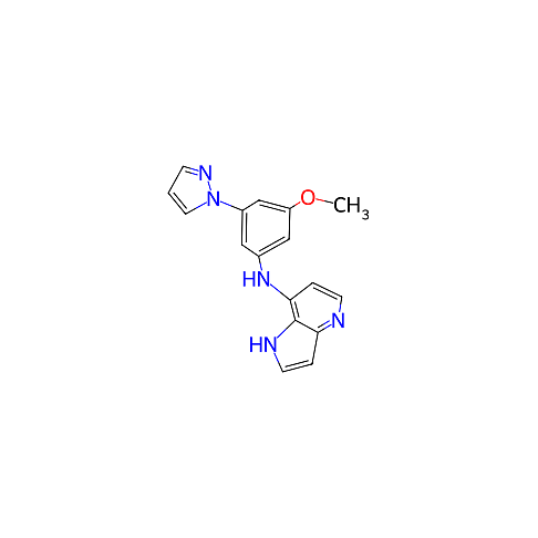 COc1cc(Nc2ccnc3cc[nH]c23)cc(-n2cccn2)c1